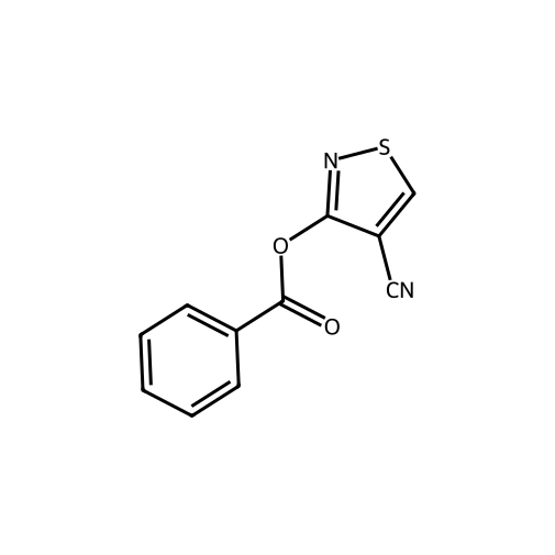 N#Cc1csnc1OC(=O)c1ccccc1